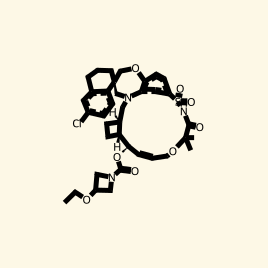 CCOC1CN(C(=O)O[C@H]2C=CCOC(C)(C)C(=O)NS(=O)(=O)c3ccc4c(c3)N(C[C@@H]3CC[C@H]32)C[C@@]2(CCCc3cc(Cl)ccc32)CO4)C1